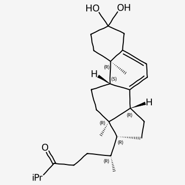 CC(C)C(=O)CC[C@@H](C)[C@H]1CC[C@H]2C3=CC=C4CC(O)(O)CC[C@]4(C)[C@H]3CC[C@]12C